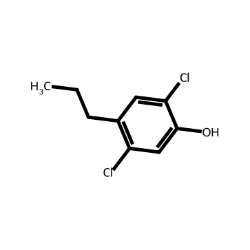 CCCc1cc(Cl)c(O)cc1Cl